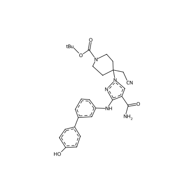 CC(C)(C)OC(=O)N1CCC(CC#N)(n2cc(C(N)=O)c(Nc3cccc(-c4ccc(O)cc4)c3)n2)CC1